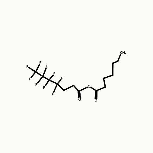 CCCCCCC(=O)OC(=O)CCC(F)(F)C(F)(F)C(F)(F)C(F)(F)F